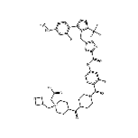 CNc1ccc(-c2[nH]nc(C(F)(F)F)c2Cc2cnc(C(=O)Nc3ccc(C(=O)N4CCN(C(=O)C5CC[N+](CC(=O)O)(CC6CNC6)CC5)CC4)c(F)c3)[nH]2)c(F)c1